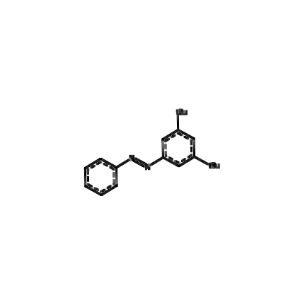 CC(C)(C)c1cc(N=Nc2ccccc2)cc(C(C)(C)C)c1